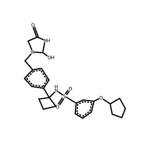 O=C1CN(Cc2ccc(C3(NS(=O)(=O)c4cccc(OC5CCCC5)c4)CCC3)cc2)C(O)N1